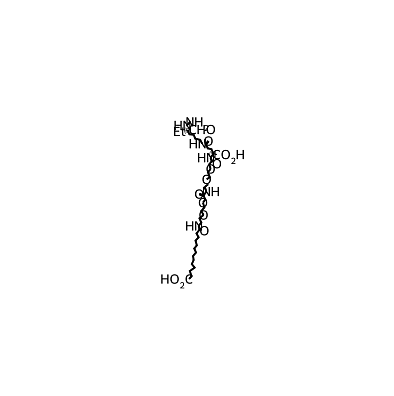 CC[C@@](C=O)(CCCCNC(=O)CC[C@H](NC(=O)COCCOCCNC(=O)COCCOCCNC(=O)CCCCCCCCCCCCC(=O)O)C(=O)O)NN